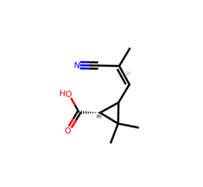 C/C(C#N)=C/C1[C@@H](C(=O)O)C1(C)C